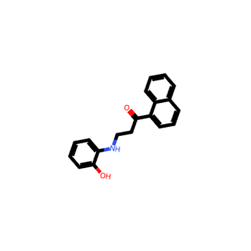 O=C(CCNc1ccccc1O)c1cccc2ccccc12